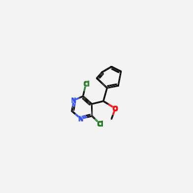 COC(c1ccccc1)c1c(Cl)ncnc1Cl